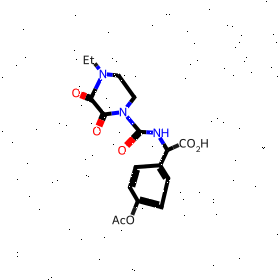 CCN1CCN(C(=O)NC(C(=O)O)c2ccc(OC(C)=O)cc2)C(=O)C1=O